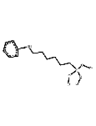 CCO[Si](CCCCCCNc1ccccc1)(OCC)OCC